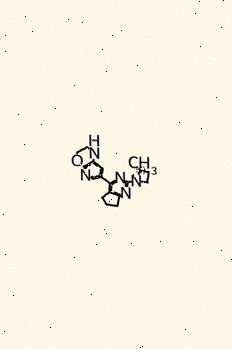 C[C@H]1CCN1c1nc2c(c(-c3cnc4c(c3)NCCO4)n1)CCC2